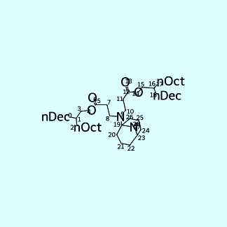 CCCCCCCCCCC(CCCCCCCC)COC(=O)CCN(CCC(=O)OCC(CCCCCCCC)CCCCCCCCCC)C12CCCC(CCC1)N2C